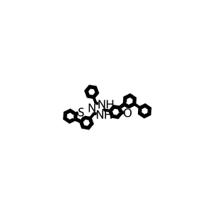 c1ccc(C2=NC(c3cccc4c3sc3ccccc34)NC(c3ccc4oc5c(-c6ccccc6)cccc5c4c3)N2)cc1